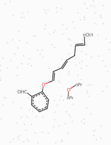 CCCCCCCCC=CCC=CC=COc1ccccc1C=O.CCCOCCC